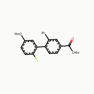 COC(=O)c1ccc(-c2cc(OC)ccc2F)c(C(C)C)c1